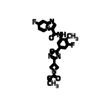 COC(=O)N1CC(c2noc(-c3cc(F)c(C)c(NC(=O)c4cnc5cc(F)ccn45)c3)n2)C1